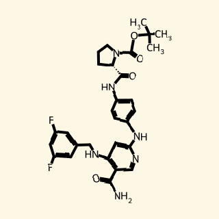 CC(C)(C)OC(=O)N1CCC[C@H]1C(=O)Nc1ccc(Nc2cc(NCc3cc(F)cc(F)c3)c(C(N)=O)cn2)cc1